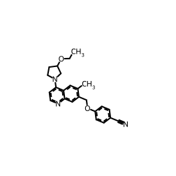 CCOC1CCN(c2ccnc3cc(COc4ccc(C#N)cc4)c(C)cc23)C1